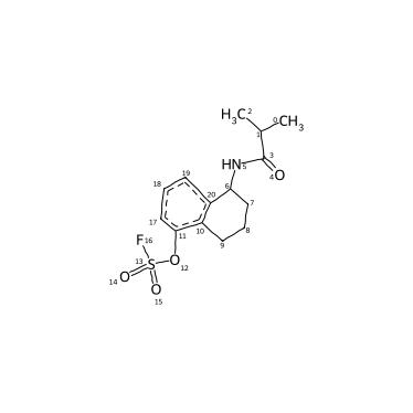 CC(C)C(=O)NC1CCCc2c(OS(=O)(=O)F)cccc21